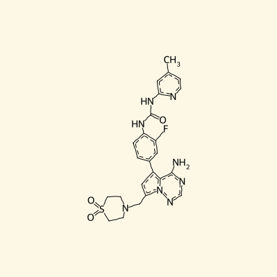 Cc1ccnc(NC(=O)Nc2ccc(-c3cc(CN4CCS(=O)(=O)CC4)n4ncnc(N)c34)cc2F)c1